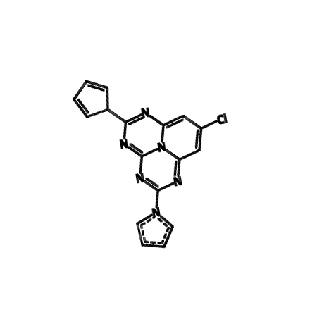 ClC1=CC2=NC(n3cccc3)=NC3=NC(C4C=CC=C4)=NC(=C1)N23